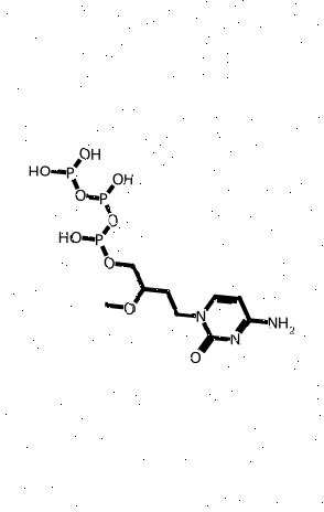 COC(CCn1ccc(N)nc1=O)COP(O)OP(O)OP(O)O